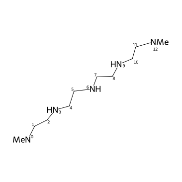 CNCCNCCNCCNCCNC